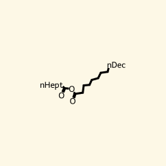 CCCCCCCCCCCCCCCCCC(=O)OC(=O)CCCCCCC